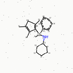 CC1=C(C)C([Si](C)(NC2CCCCC2)c2ccccc2)=C(C)C1